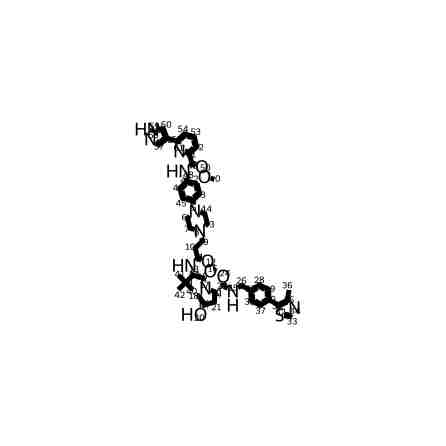 COc1cc(N2CCN(CCC(=O)N[C@H](C(=O)N3C[C@H](O)C[C@H]3C(=O)NCc3ccc(-c4scnc4C)cc3)C(C)(C)C)CC2)ccc1NC(=O)c1cccc(-c2cn[nH]c2)n1